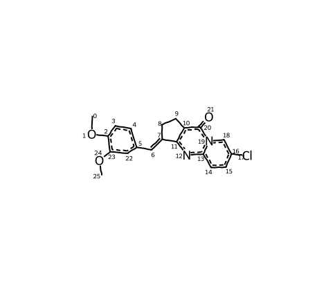 COc1ccc(C=C2CCc3c2nc2ccc(Cl)cn2c3=O)cc1OC